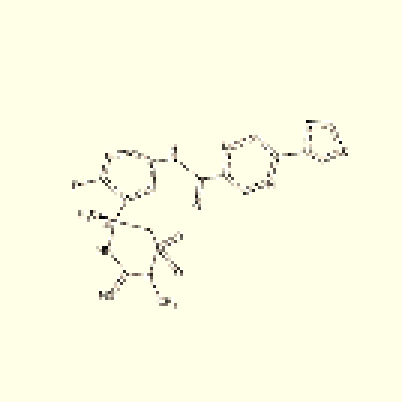 CN1C(=N)N[C@](C)(c2cc(NC(=O)c3cnc(-c4ccsc4)cn3)ccc2F)CS1(=O)=O